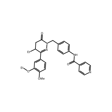 CCOc1cc(C2=NN(Cc3ccc(NC(=O)c4ccncc4)cc3)C(=O)CC2CC)ccc1OC